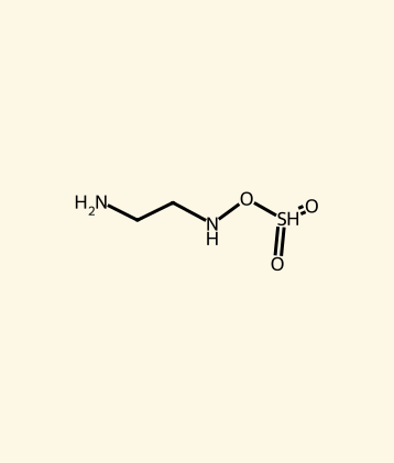 NCCNO[SH](=O)=O